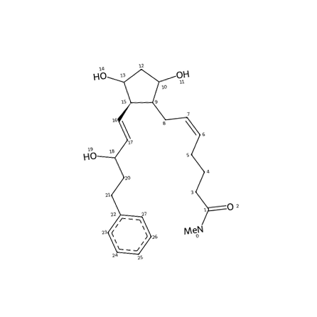 CNC(=O)CCC/C=C\CC1C(O)CC(O)[C@@H]1/C=C/C(O)CCc1ccccc1